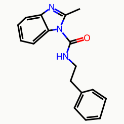 Cc1nc2ccccc2n1C(=O)NCCc1ccccc1